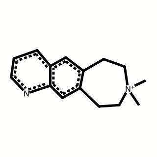 C[N+]1(C)CCc2cc3cccnc3cc2CC1